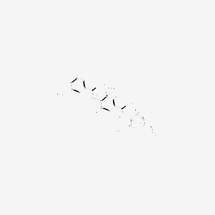 COc1cccc(C(=O)Nc2c(Cl)cc(C(=O)O[C@H]3[C@@H](OC)O[C@H](CO)[C@@H](O)[C@@H]3O)cc2OC)c1